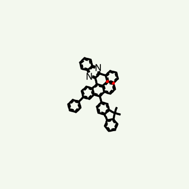 CC1(C)c2ccccc2-c2ccc(-c3c4ccccc4c(-c4nc5ccccc5nc4-c4ccccc4)c4ccc(-c5ccccc5)cc34)cc21